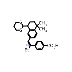 CC/C(=C/c1ccc2c(c1)C(C1SCCCS1)CCC2(C)C)c1ccc(C(=O)O)cc1